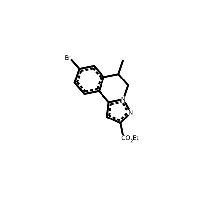 CCOC(=O)c1cc2n(n1)CC(C)c1cc(Br)ccc1-2